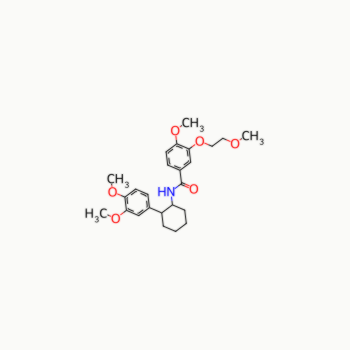 COCCOc1cc(C(=O)NC2CCCCC2c2ccc(OC)c(OC)c2)ccc1OC